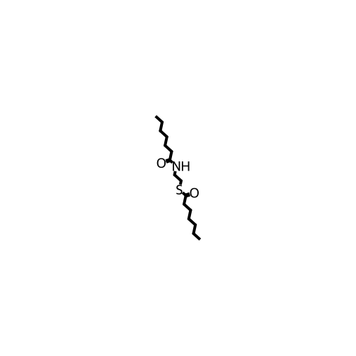 CCCCCCC(=O)NCCSC(=O)CCCCCC